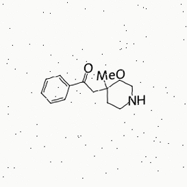 COC1(CC(=O)c2ccccc2)CCNCC1